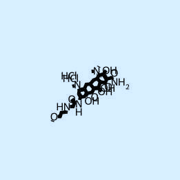 COCCCNCC(=O)Nc1cc(N(C)C)c2c(c1O)C(=O)C1=C(O)C3(O)C(=O)C(C(N)=O)=C(O)[C@@H](N(C)C)C3CC1C2.Cl.Cl